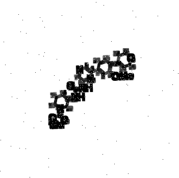 COc1cc(-c2cncc(NC(=O)N[C@H]3CCCN(C(=O)OC(C)(C)C)C3)n2)ccc1C1=CCOCC1